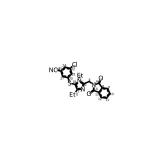 CCc1nc(CN2C(=O)c3ccccc3C2=O)n(CC)c1Sc1cc(Cl)cc(C#N)c1